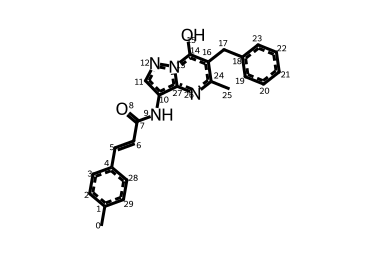 Cc1ccc(/C=C/C(=O)Nc2cnn3c(O)c(Cc4ccccc4)c(C)nc23)cc1